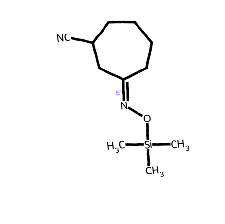 C[Si](C)(C)O/N=C1\CCCCC(C#N)C1